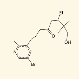 CCC(CC(=O)CCCc1cc(Br)cnc1C)C(C)(C)CO